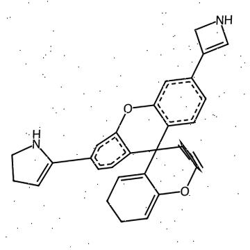 C1=CC2OC3=CCCC=C3C3(c4ccc(C5=CNC5)cc4Oc4cc(C5=CCCN5)ccc43)C2C=C1